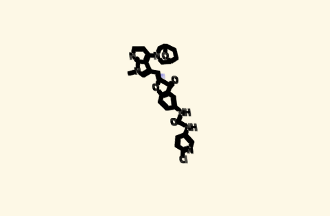 Cn1cc(/C=C2\Oc3ccc(NC(=O)Nc4ccc(Cl)nc4)cc3C2=O)c2c(N3CC4CCC(C3)O4)ccnc21